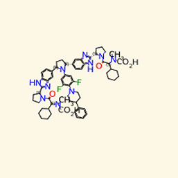 CN(C(=O)O)[C@H](C(=O)N1CCC[C@H]1c1nc2cc([C@H]3CC[C@H](c4ccc5[nH]c([C@@H]6CCCN6C(=O)[C@H](C6CCCCC6)N(C)C(=O)O)nc5c4)N3c3cc(F)c(N4CCC(c5ccccc5)CC4)c(F)c3)ccc2[nH]1)C1CCCCC1